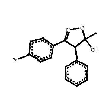 CC1(O)ON=C(c2ccc(Br)cc2)C1c1ccccc1